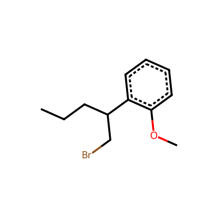 CCCC(CBr)c1ccccc1OC